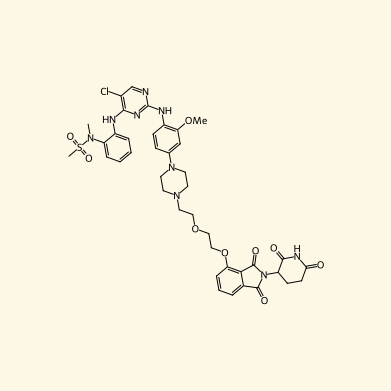 COc1cc(N2CCN(CCOCCOc3cccc4c3C(=O)N(C3CCC(=O)NC3=O)C4=O)CC2)ccc1Nc1ncc(Cl)c(Nc2ccccc2N(C)S(C)(=O)=O)n1